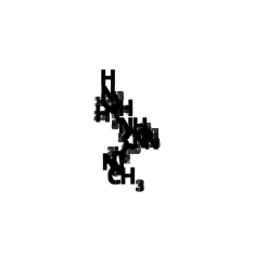 Cn1cc(-c2cc(NCC3[C@H]4CNC[C@@H]34)c3ccnn3c2)cn1